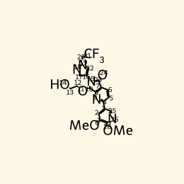 COc1cc(-c2ccc3c(n2)[C@@H](OCCO)N(c2cnn(CC(F)(F)F)c2)C3=O)cnc1OC